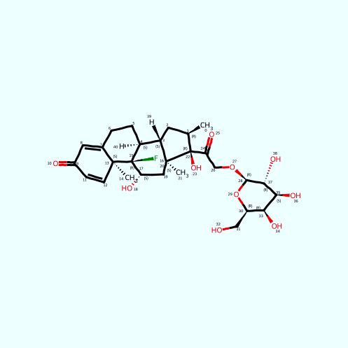 C[C@@H]1C[C@H]2[C@@H]3CCC4=CC(=O)C=C[C@]4(C)[C@@]3(F)[C@@H](O)C[C@]2(C)[C@@]1(O)C(=O)CO[C@@H]1O[C@H](CO)[C@H](O)[C@H](O)[C@H]1O